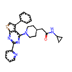 O=C(CC1CCN(c2nc(-c3ccccn3)nc3scc(-c4ccccc4)c23)CC1)NC1CC1